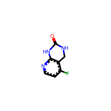 O=C1NCc2c(F)ccnc2N1